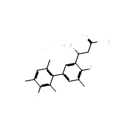 Cc1cc(-c2c(C)cc(C)c(F)c2C)cc(C(N)CC(=O)O)c1F.Cl